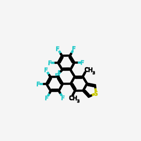 Cc1c(-c2c(F)c(F)c(F)c(F)c2F)c(-c2c(F)c(F)c(F)c(F)c2F)c(C)c2cscc12